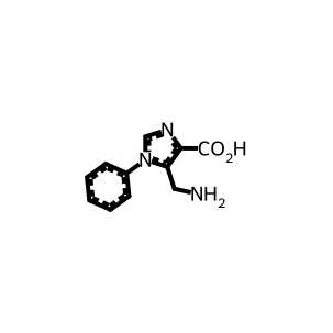 NCc1c(C(=O)O)ncn1-c1ccccc1